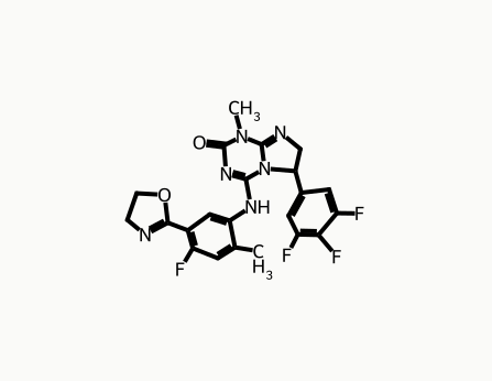 Cc1cc(F)c(C2=NCCO2)cc1NC1=NC(=O)N(C)C2=NCC(c3cc(F)c(F)c(F)c3)N12